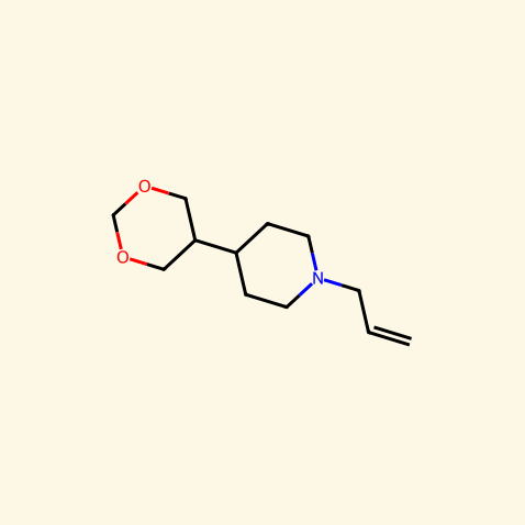 C=CCN1CCC(C2COCOC2)CC1